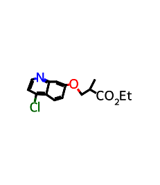 CCOC(=O)C(C)COc1ccc2c(Cl)ccnc2c1